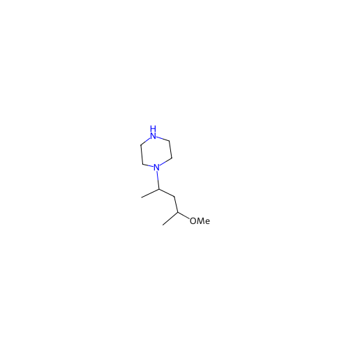 COC(C)CC(C)N1CCNCC1